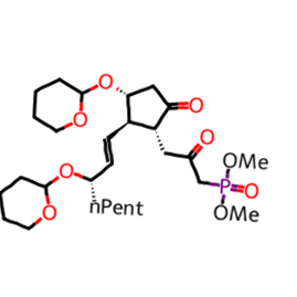 CCCCC[C@@H](/C=C/[C@H]1[C@H](OC2CCCCO2)CC(=O)[C@@H]1CC(=O)CP(=O)(OC)OC)OC1CCCCO1